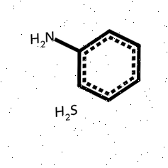 Nc1ccccc1.S